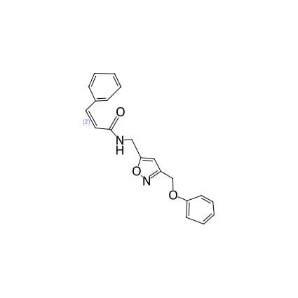 O=C(/C=C\c1ccccc1)NCc1cc(COc2ccccc2)no1